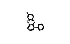 Cc1ccc2nc3c(-c4ccccc4)cccc3nc2c1